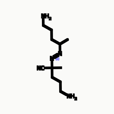 CC(CCCN)/N=N/C(C)(C#N)CCCN